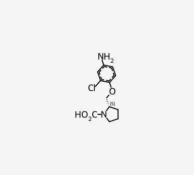 Nc1ccc(OC[C@@H]2CCCN2C(=O)O)c(Cl)c1